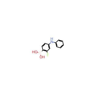 OB(O)c1ccc(Nc2ccccc2)cc1F